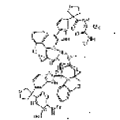 CCNC(=O)[C@H](NC(=O)C1(c2ccc3nc([C@@H](NC(=O)N(CC)CC4CC4(C)[C@@H](c4ccccc4Cl)[C@H](NC(=O)N(C)C)c4nc5ccc(C6(C(=O)N[C@@H](C(=O)NCC)C(C)(C)C)CCOC6)cc5[nH]4)[C@H](c4ccccc4Cl)C4(C)CC4)[nH]c3c2)CCOC1)C(C)(C)C